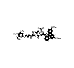 COc1ccc(C(OCC(COC(=O)NCC(=O)NCCCO[C@H]2CC(OC(C)=O)C(OC(C)=O)[C@@H](COC(C)=O)O2)OP(OCCC#N)N(C(C)C)C(C)C)(c2ccccc2)c2ccc(OC)cc2)cc1